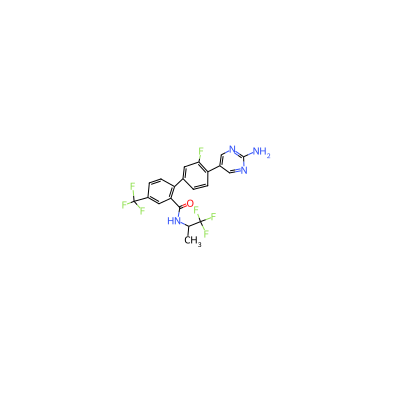 CC(NC(=O)c1cc(C(F)(F)F)ccc1-c1ccc(-c2cnc(N)nc2)c(F)c1)C(F)(F)F